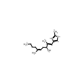 CCCC/C(C)=C\C[C@H](O)/C(C)=C/c1coc(C)n1